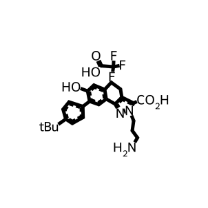 CC(C)(C)c1ccc(-c2cc3c(cc2O)CCc2c-3nn(CCCN)c2C(=O)O)cc1.O=C(O)C(F)(F)F